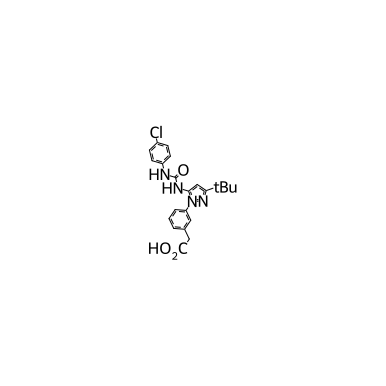 CC(C)(C)c1cc(NC(=O)Nc2ccc(Cl)cc2)n(-c2cccc(CC(=O)O)c2)n1